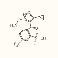 CC(C)N.CS(=O)(=O)c1cc(C(F)(F)F)ccc1C(=O)c1cnoc1C1CC1